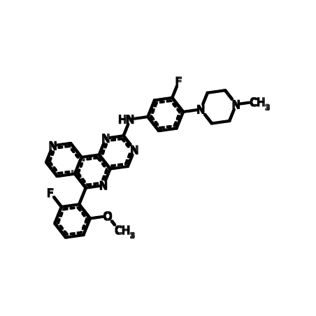 COc1cccc(F)c1-c1nc2cnc(Nc3ccc(N4CCN(C)CC4)c(F)c3)nc2c2cnccc12